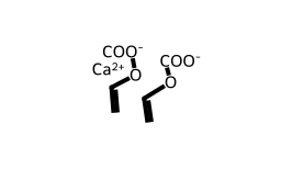 C=COC(=O)[O-].C=COC(=O)[O-].[Ca+2]